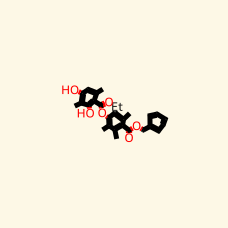 CCc1c(C)c(C(=O)OCc2ccccc2)c(C)c(C)c1OC(=O)c1c(C)cc(O)c(C)c1O